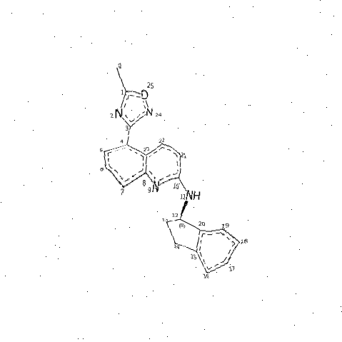 Cc1nc(-c2cccc3nc(N[C@@H]4CCc5ccccc54)ccc23)no1